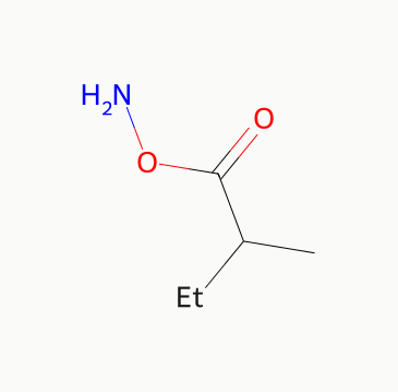 CCC(C)C(=O)ON